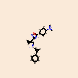 CN(C)[C@H]1CC[C@@H](c2nc(C3(CN[C@@H]4C[C@H]4c4ccccc4)CC3)no2)CC1